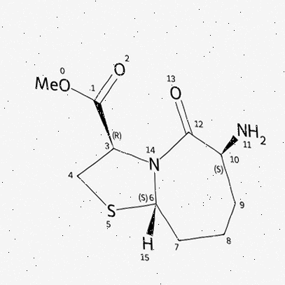 COC(=O)[C@@H]1CS[C@H]2CCC[C@H](N)C(=O)N21